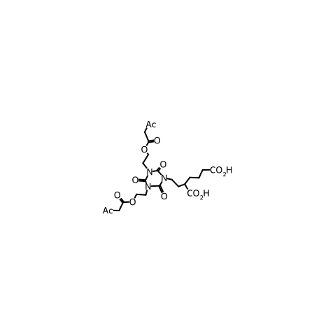 CC(=O)CC(=O)OCCn1c(=O)n(CCOC(=O)CC(C)=O)c(=O)n(CCC(CCCC(=O)O)C(=O)O)c1=O